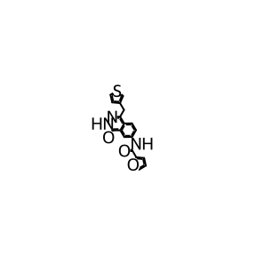 O=C(Nc1ccc2c(Cc3ccsc3)n[nH]c(=O)c2c1)c1ccco1